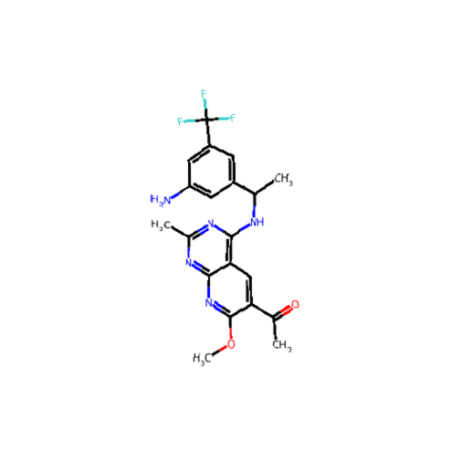 COc1nc2nc(C)nc(NC(C)c3cc(N)cc(C(F)(F)F)c3)c2cc1C(C)=O